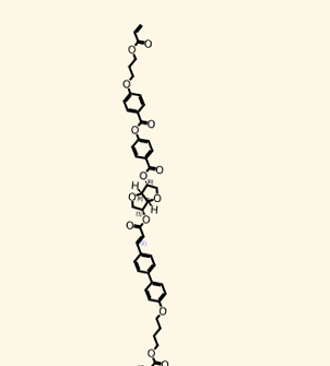 C=CC(=O)OCCCOc1ccc(C(=O)Oc2ccc(C(=O)O[C@@H]3CO[C@H]4[C@@H]3OC[C@@H]4OC(=O)/C=C/c3ccc(-c4ccc(OCCCCOC(=O)C(C)CC)cc4)cc3)cc2)cc1